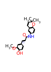 COc1cc(/C=C/C(=O)Nc2ccc3c(c2)C=CC(C)(C)O3)ccc1O